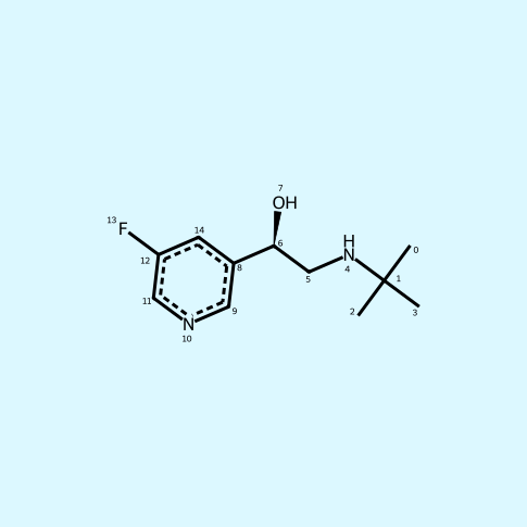 CC(C)(C)NC[C@H](O)c1cncc(F)c1